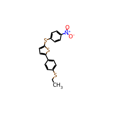 CCSc1ccc(-c2ccc(Sc3ccc([N+](=O)[O-])cc3)s2)cc1